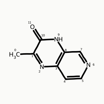 Cc1nc2ccncc2[nH]c1=O